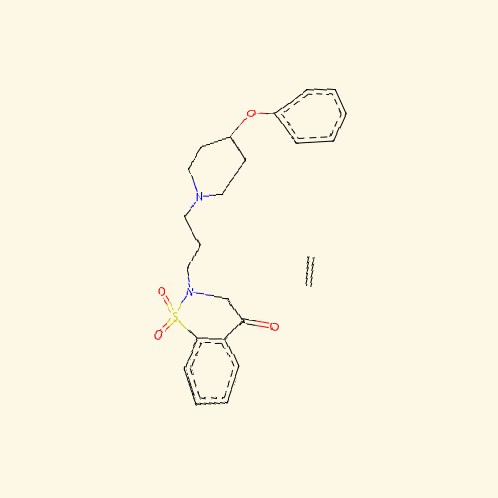 C=C.O=C1CN(CCCN2CCC(Oc3ccccc3)CC2)S(=O)(=O)c2ccccc21